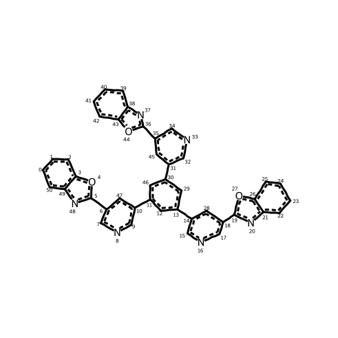 c1ccc2oc(-c3cncc(-c4cc(-c5cncc(-c6nc7ccccc7o6)c5)cc(-c5cncc(-c6nc7ccccc7o6)c5)c4)c3)nc2c1